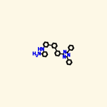 Nc1ccccc1Nc1cccc(-c2cccc(-c3cccc(-c4nc(-c5ccccc5)nc(-c5ccccc5)n4)c3)c2)c1